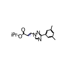 Cc1cc(C)cc(-c2ncn(/C=C/C(=O)OC(C)C)n2)c1